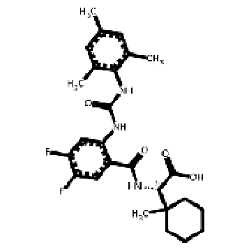 Cc1cc(C)c(NC(=O)Nc2cc(F)c(F)cc2C(=O)N[C@H](C(=O)O)C2(C)CCCCC2)c(C)c1